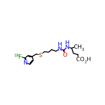 CC(CCC(=O)O)NC(=O)NCCCCSCc1ccnc([18F])c1